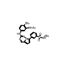 CC(=O)Nc1cc(Nc2ncc3ccc(-c4cccc(S(=O)(=O)NC(C)(C)C)c4)n3n2)ccc1C(C)(C)C